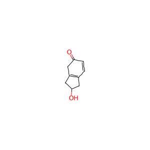 O=C1C=CC2=C(C1)CC(O)C2